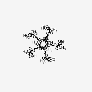 CC(CO)(CO)C(=O)OCCO[Si]1(C)O[Si](C)(OCCOC(=O)C(C)(CO)CO)O[Si](C)(OCCOC(=O)C(C)(CO)CO)O[Si](C)(OCCOC(=O)C(C)(CO)CO)O[Si](C)(OCCOC(=O)C(C)(CO)CO)O1